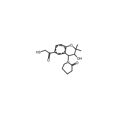 CC1(C)Oc2ccc(C(=O)CS)cc2C(N2CCCCC2=O)C1O